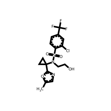 Cc1cnc(C2(N(CCO)S(=O)(=O)c3ccc(C(F)(F)F)cc3Cl)CC2)o1